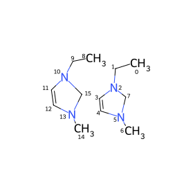 CCN1C=CN(C)C1.CCN1C=CN(C)C1